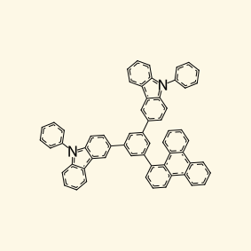 c1ccc(-n2c3ccccc3c3cc(-c4cc(-c5ccc6c(c5)c5ccccc5n6-c5ccccc5)cc(-c5cccc6c7ccccc7c7ccccc7c56)c4)ccc32)cc1